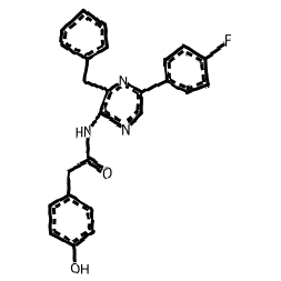 O=C(Cc1ccc(O)cc1)Nc1ncc(-c2ccc(F)cc2)nc1Cc1ccccc1